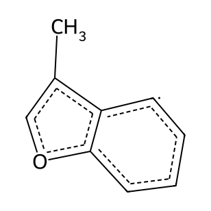 Cc1coc2ccc[c]c12